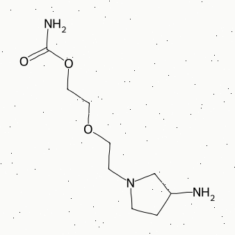 NC(=O)OCCOCCN1CCC(N)C1